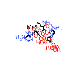 C=CC(SSC)C(C(N)=O)C(C)C(=O)O[C@H]1[C@@H](O)[C@H](n2cnc3c(N)ncnc32)O[C@@H]1COP(=O)(O)O[C@H]1C[C@H](n2ccc(N)nc2=O)O[C@@H]1COP(=O)(O)O